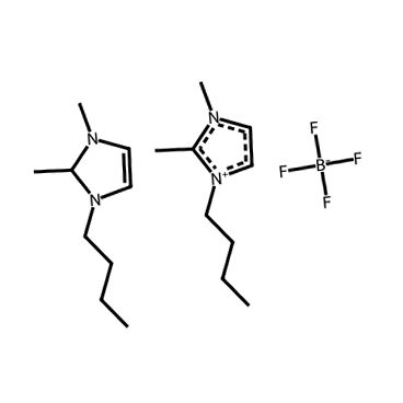 CCCCN1C=CN(C)C1C.CCCC[n+]1ccn(C)c1C.F[B-](F)(F)F